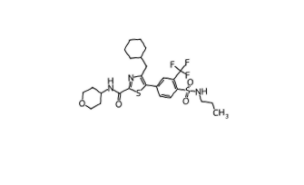 CCCNS(=O)(=O)c1ccc(-c2sc(C(=O)NC3CCOCC3)nc2CC2CCCCC2)cc1C(F)(F)F